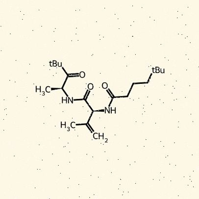 C=C(C)[C@H](NC(=O)CCCC(C)(C)C)C(=O)N[C@@H](C)C(=O)C(C)(C)C